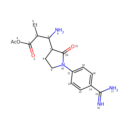 CCC(C(=O)OC(C)=O)C(N)C1CCN(c2ccc(C(=N)N)cc2)C1=O